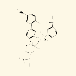 N#Cc1ccc(F)c(-c2ccc3c(c2)N(S(=O)(=O)c2cccc(C(F)(F)F)c2)C[C@@H]2CN(CC(=O)O)CCN32)c1